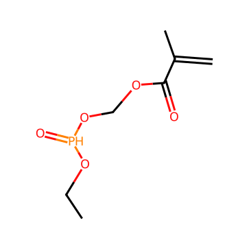 C=C(C)C(=O)OCO[PH](=O)OCC